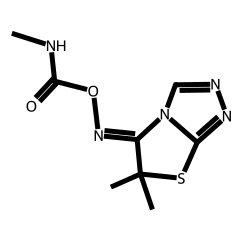 CNC(=O)ON=C1n2cnnc2SC1(C)C